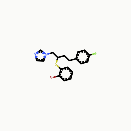 Fc1ccc(CCC(Cn2ccnc2)Sc2ccccc2Br)cc1